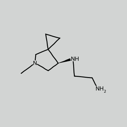 CN1C[C@H](NCCN)C2(CC2)C1